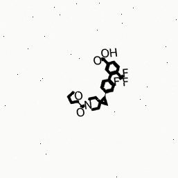 O=C(O)c1ccc(C(F)(F)F)c(-c2ccc([C@@H]3CC34CCN(C(=O)[C@H]3CCCO3)CC4)cc2)c1